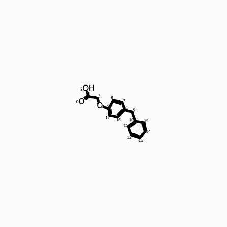 O=C(O)COc1ccc(Cc2ccccc2)cc1